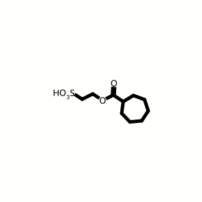 O=C(OCCS(=O)(=O)O)C1CCCCCC1